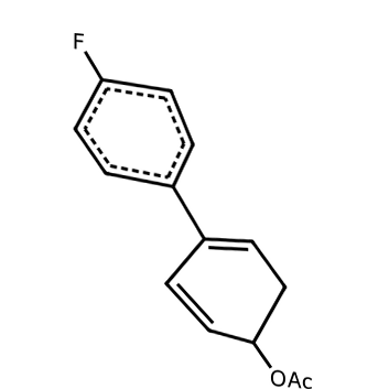 CC(=O)OC1C=CC(c2ccc(F)cc2)=CC1